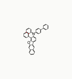 c1ccc(-c2ccc(N(c3ccccc3)c3ccc4c(oc5cc6ccccc6cc54)c3-c3ccccc3)cc2)cc1